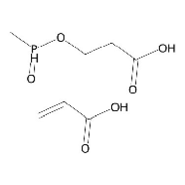 C=CC(=O)O.C[PH](=O)OCCC(=O)O